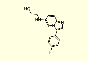 OCCNc1ccc2ncc(-c3ccc(F)cc3)n2n1